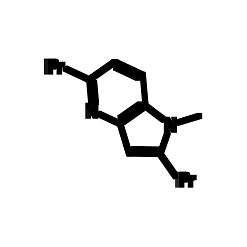 CC(C)c1ccc2c(cc(C(C)C)n2C)n1